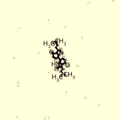 CN(C)CCC1=C2C(=O)C=CC(C3=C4NC(=O)C(CCN(C)C)=C4C(=O)C=C3)=C2N=C1